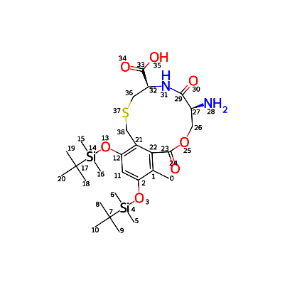 Cc1c(O[Si](C)(C)C(C)(C)C)cc(O[Si](C)(C)C(C)(C)C)c2c1C(=O)OC[C@H](N)C(=O)N[C@H](C(=O)O)CSC2